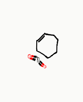 C1=CCCCC1.[O]=[Ti]=[O]